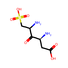 NC(CS(=O)(=O)O)C(=O)[C@@H](N)CC(=O)O